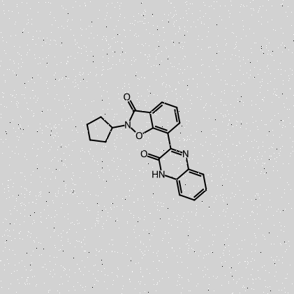 O=c1[nH]c2ccccc2nc1-c1cccc2c(=O)n(C3CCCC3)oc12